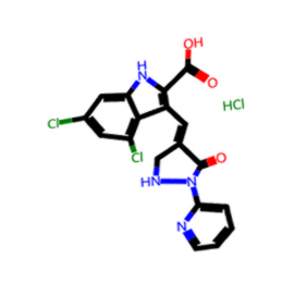 Cl.O=C(O)c1[nH]c2cc(Cl)cc(Cl)c2c1C=C1CNN(c2ccccn2)C1=O